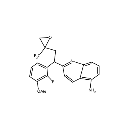 COc1cccc(C(CC2(C(F)(F)F)CO2)c2ccc3c(N)cccc3n2)c1F